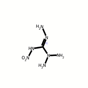 N/N=C(\N[N+](=O)[O-])N(N)N